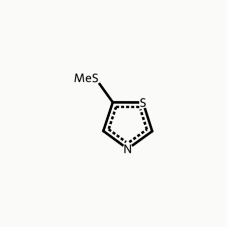 [CH2]Sc1cncs1